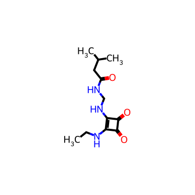 CCNc1c(NCNC(=O)CC(C)C)c(=O)c1=O